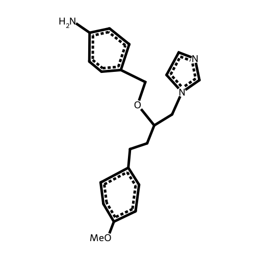 COc1ccc(CCC(Cn2ccnc2)OCc2ccc(N)cc2)cc1